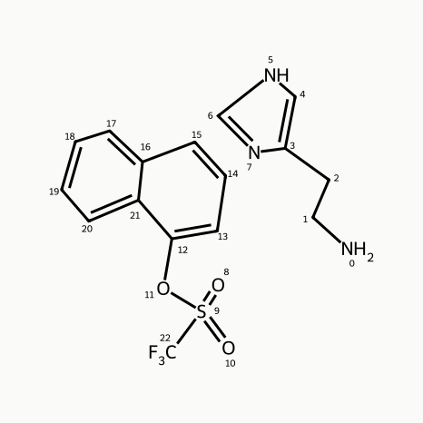 NCCc1c[nH]cn1.O=S(=O)(Oc1cccc2ccccc12)C(F)(F)F